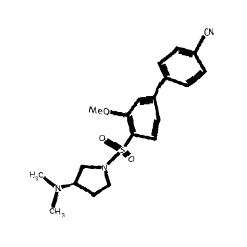 COc1cc(-c2ccc(C#N)cc2)ccc1S(=O)(=O)N1CC[C@@H](N(C)C)C1